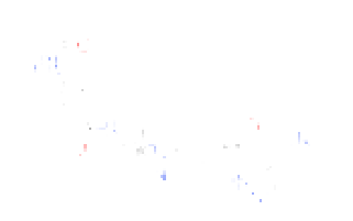 C=CC(=O)N[C@H]1C[C@@H](C(=O)N2CC[C@@H](n3cc(-c4cc(OC)c5c(C#N)cnn5c4)cn3)C2)C1